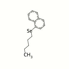 CCCCC[Se]c1cccc2ccccc12